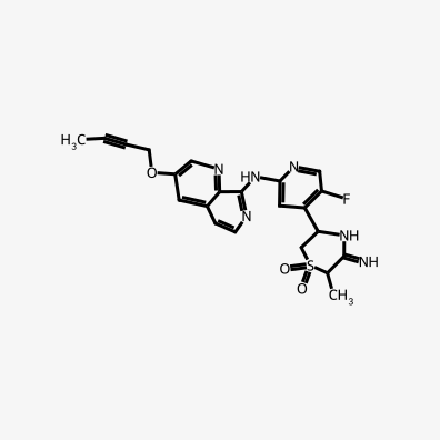 CC#CCOc1cnc2c(Nc3cc(C4CS(=O)(=O)C(C)C(=N)N4)c(F)cn3)nccc2c1